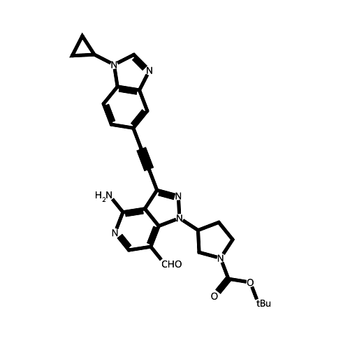 CC(C)(C)OC(=O)N1CCC(n2nc(C#Cc3ccc4c(c3)ncn4C3CC3)c3c(N)ncc(C=O)c32)C1